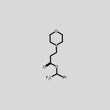 CC(C)C(OC(=O)CCN1CCOCC1)C(F)(F)F